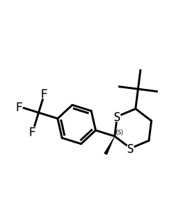 CC(C)(C)C1CCS[C@](C)(c2ccc(C(F)(F)F)cc2)S1